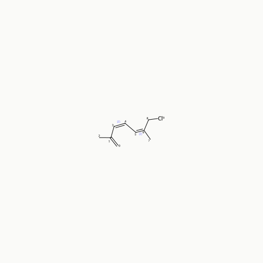 C=C(C)/C=C\C=C(\C)CCl